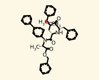 CC(C)C[C@H](N[C@@H](Cc1ccccc1)C(=O)OCc1ccccc1)C(=O)N(c1ccc(-c2ccccc2)cc1)[C@@H](C)C(=O)OCc1ccccc1